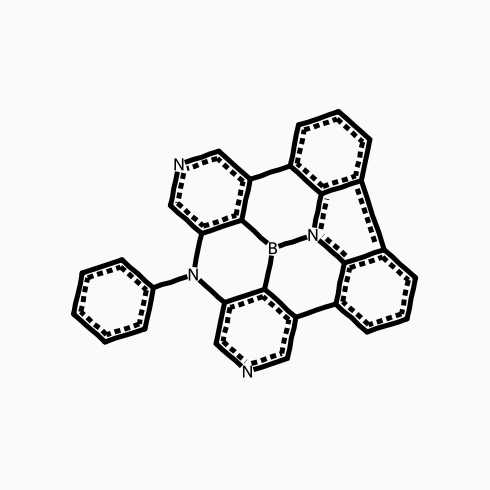 c1ccc(N2c3cncc4c3B3c5c(cncc52)-c2cccc5c6cccc-4c6n3c25)cc1